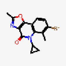 Cc1nc2c(=O)n(C3CC3)c3c(C)c(Br)ccc3c2o1